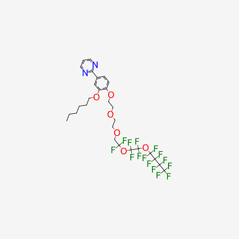 CCCCCCOc1cc(-c2ncccn2)ccc1OCCOCCOCC(F)(F)OC(F)(F)C(F)(F)OC(F)(F)C(F)(F)C(F)(F)C(F)(F)F